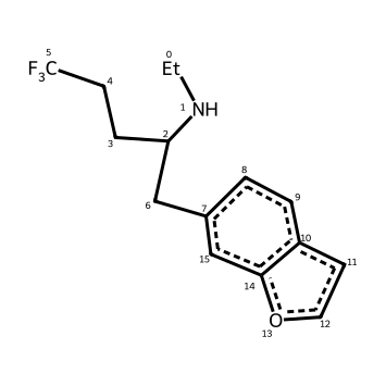 CCNC(CCC(F)(F)F)Cc1ccc2ccoc2c1